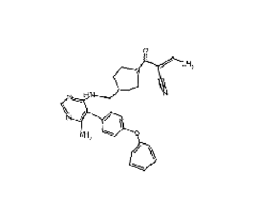 C/C=C(\C#N)C(=O)N1CCC(CNc2ncnc(N)c2-c2ccc(Oc3ccccc3)cc2)CC1